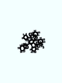 CC1(C)c2ccccc2-c2c(-c3nc4ccccc4o3)c3c(c(N(c4ccccc4)c4ccccc4)c21)C(C)(C)c1ccccc1-3